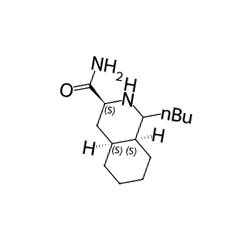 CCCCC1N[C@H](C(N)=O)C[C@@H]2CCCC[C@H]12